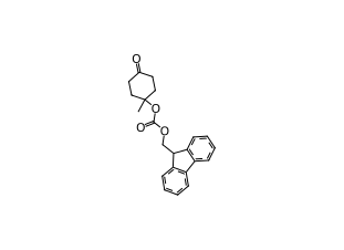 CC1(OC(=O)OCC2c3ccccc3-c3ccccc32)CCC(=O)CC1